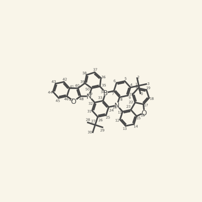 CC(C)(C)c1ccc2c(c1)N(c1cccc3oc4ccccc4c13)c1cc(C(C)(C)C)cc3c1B2c1cccc2c4c5ccccc5oc4n-3c12